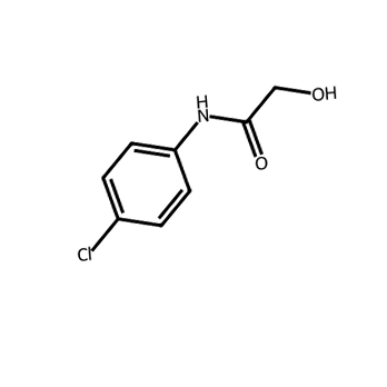 O=C(CO)Nc1ccc(Cl)cc1